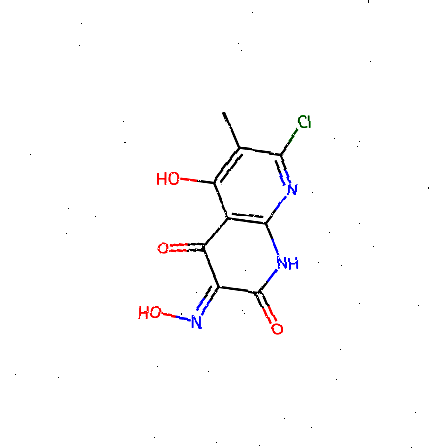 Cc1c(Cl)nc2c(c1O)C(=O)C(=NO)C(=O)N2